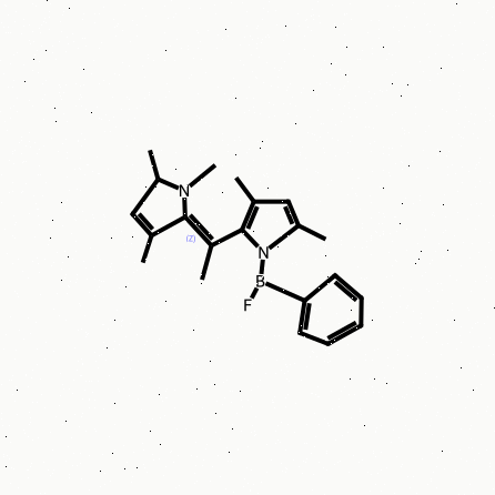 CC1=CC(C)N(C)/C1=C(/C)c1c(C)cc(C)n1B(F)c1ccccc1